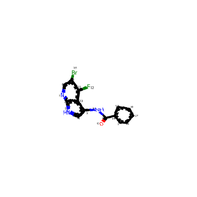 O=C(Nc1c[nH]c2ncc(Br)c(F)c12)c1ccccc1